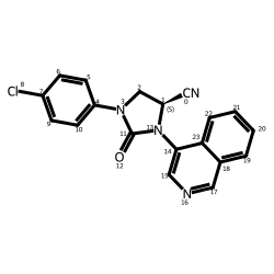 N#C[C@@H]1CN(c2ccc(Cl)cc2)C(=O)N1c1cncc2ccccc12